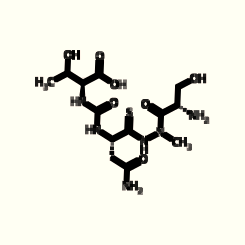 CC(O)[C@H](NC(=O)N[C@@H](CC(N)=O)C(=S)NN(C)C(=O)[C@@H](N)CO)C(=O)O